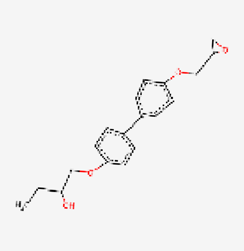 CCC(O)COc1ccc(-c2ccc(OCC3CO3)cc2)cc1